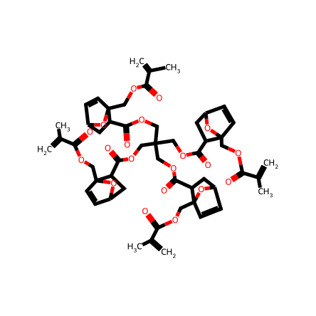 C=C(C)C(=O)OCC12C=CC(CC1C(=O)OCC(COC(=O)C1CC3C=CC1(COC(=O)C(=C)C)O3)(COC(=O)C1CC3C=CC1(COC(=O)C(=C)C)O3)COC(=O)C1CC3C=CC1(COC(=O)C(=C)C)O3)O2